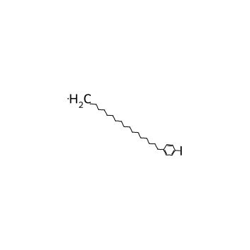 [CH2]CCCCCCCCCCCCCCCCCc1ccc(I)cc1